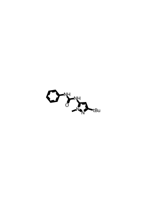 Cn1nc(C(C)(C)C)cc1NC(=O)Nc1ccccc1